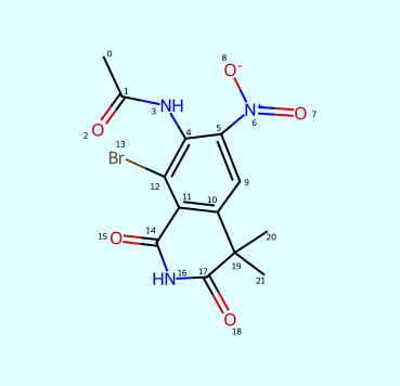 CC(=O)Nc1c([N+](=O)[O-])cc2c(c1Br)C(=O)NC(=O)C2(C)C